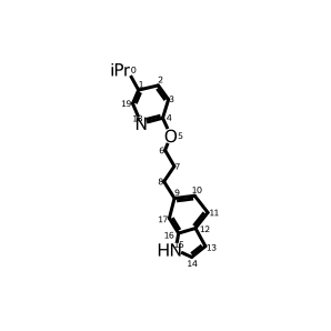 CC(C)c1ccc(OCCCc2ccc3cc[nH]c3c2)nc1